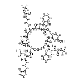 C[C@@H](O)[C@H](NC(=O)[C@@H]1CSSC[C@H](NC(=O)[C@@H](Cc2ccccc2)NC(=O)OC(C)(C)C)C(=O)N[C@@H](Cc2ccc(O)cc2)C(=O)N[C@H](Cc2c[nH]c3ccccc23)C(=O)N[C@@H](CCCCNC(=O)OC(C)(C)C)C(=O)N[C@@H]([C@@H](C)O)C(=O)N1)C(=O)NCCCN1CC=CC1=O